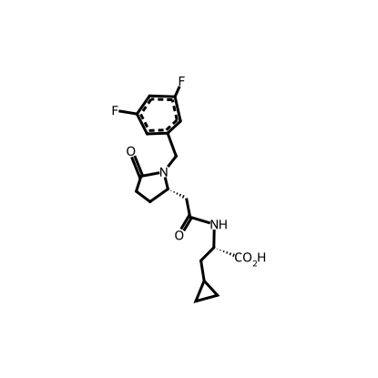 O=C(C[C@@H]1CCC(=O)N1Cc1cc(F)cc(F)c1)N[C@@H](CC1CC1)C(=O)O